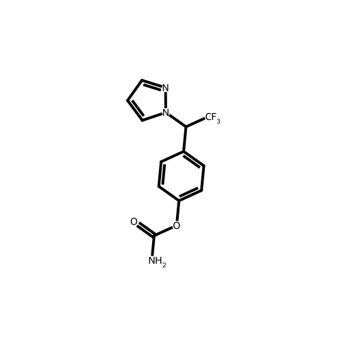 NC(=O)Oc1ccc(C(n2cccn2)C(F)(F)F)cc1